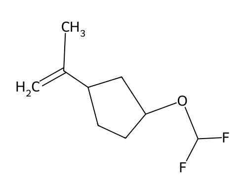 C=C(C)C1CCC(OC(F)F)C1